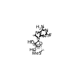 CSC[C@H]1OC(n2cnc3c(N)nc(F)nc32)[C@H](O)[C@@H]1O